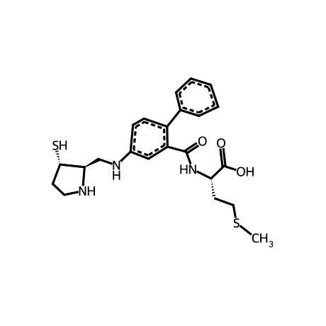 CSCC[C@H](NC(=O)c1cc(NC[C@H]2NCC[C@@H]2S)ccc1-c1ccccc1)C(=O)O